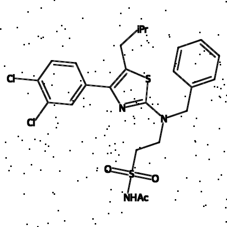 CC(=O)NS(=O)(=O)CCN(Cc1ccccc1)c1nc(-c2ccc(Cl)c(Cl)c2)c(CC(C)C)s1